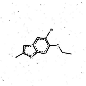 CCOc1cc2nc(C)cn2cc1Br